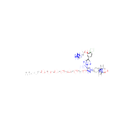 COCCOCCOCCOCCOCCOCCOCCCOc1nn([C@H]2CC[C@H](N3[C@@H]4CC[C@H]3COC4)CC2)cc1Nc1ncc(-c2ccc(Cl)c(O[C@@H](C)Cn3cnnn3)c2)cn1